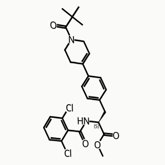 COC(=O)[C@H](Cc1ccc(C2=CCN(C(=O)C(C)(C)C)CC2)cc1)NC(=O)c1c(Cl)cccc1Cl